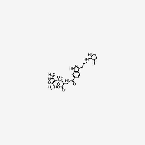 Cc1noc(C)c1S(=O)(=O)NC(CNC(=O)c1ccc2c(CCCNC3NCCN3)n[nH]c2c1)C(=O)O